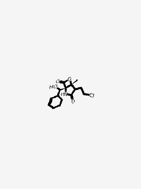 C[C@]12OC(=O)[C@@]1(C(O)C1C=CCCC1)NC(=O)C2CCCl